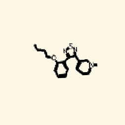 CCCCOc1ccccc1-c1nsnc1C1=CCCN(C)C1